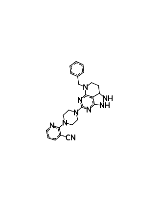 N#Cc1cccnc1N1CCN(c2nc3c4c(n2)N(Cc2ccccc2)CCC4NN3)CC1